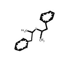 CC(Cc1ccccc1)SC(C)Cc1ccccc1